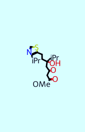 COC(=O)CC(=O)CC(O)(CCc1scnc1C(C)C)C(C)C